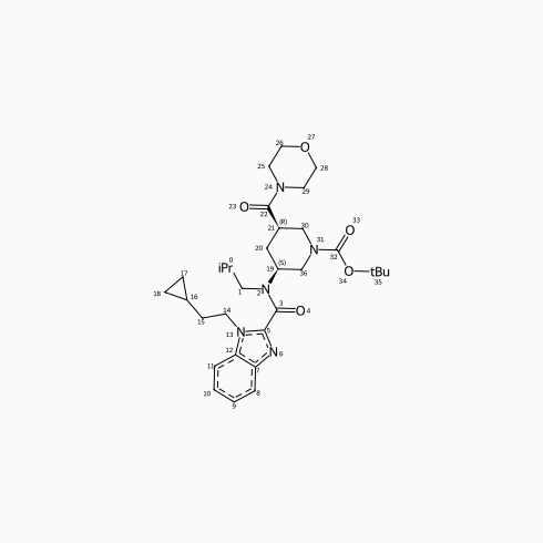 CC(C)CN(C(=O)c1nc2ccccc2n1CCC1CC1)[C@H]1C[C@@H](C(=O)N2CCOCC2)CN(C(=O)OC(C)(C)C)C1